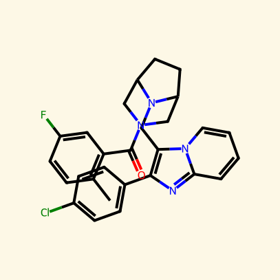 Cc1ccc(F)cc1C(=O)N1CC2CCC(C1)N2Cc1c(-c2ccc(Cl)cc2)nc2ccccn12